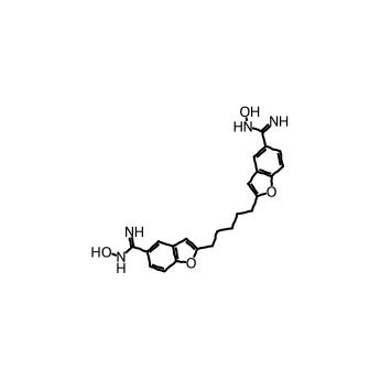 N=C(NO)c1ccc2oc(CCCCCc3cc4cc(C(=N)NO)ccc4o3)cc2c1